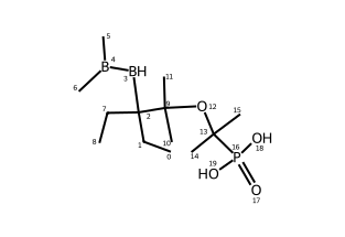 CCC(BB(C)C)(CC)C(C)(C)OC(C)(C)P(=O)(O)O